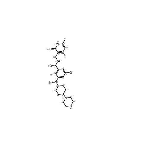 CCN(c1cc(Cl)cc(C(=O)NCc2c(C)cc(C)[nH]c2=O)c1C)C1CCC(N2CCOCC2)CC1